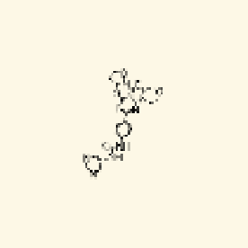 C[C@H]1COCCN1c1nc(OC2CCOC2)nc(-c2ccc(NC(=O)Nc3cncnc3)cc2)n1